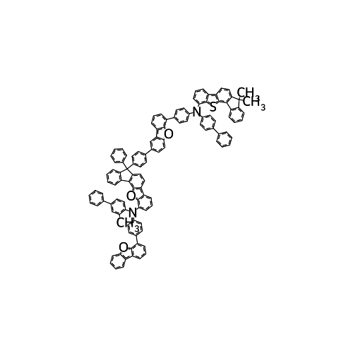 Cc1cc(-c2ccccc2)ccc1N(c1ccc(-c2cccc3c2oc2ccccc23)cc1)c1cccc2c1oc1c3c(ccc12)C(c1ccccc1)(c1ccc(-c2ccc4oc5c(-c6ccc(N(c7ccc(-c8ccccc8)cc7)c7cccc8c7sc7c9c(ccc78)C(C)(C)c7ccccc7-9)cc6)cccc5c4c2)cc1)c1ccccc1-3